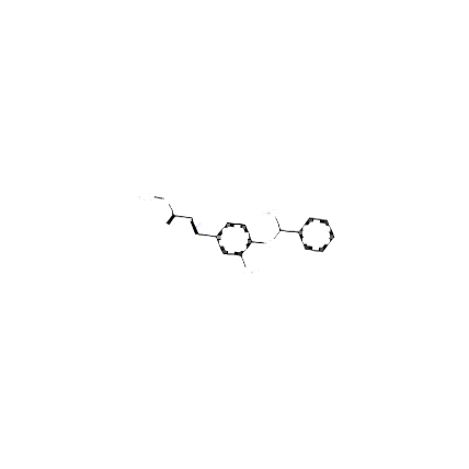 COC(=O)/C=C/c1ccc(OC(O)c2ccccc2)c(O)c1